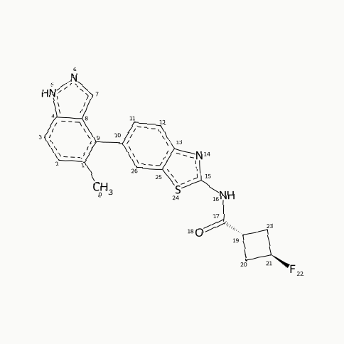 Cc1ccc2[nH]ncc2c1-c1ccc2nc(NC(=O)[C@H]3C[C@H](F)C3)sc2c1